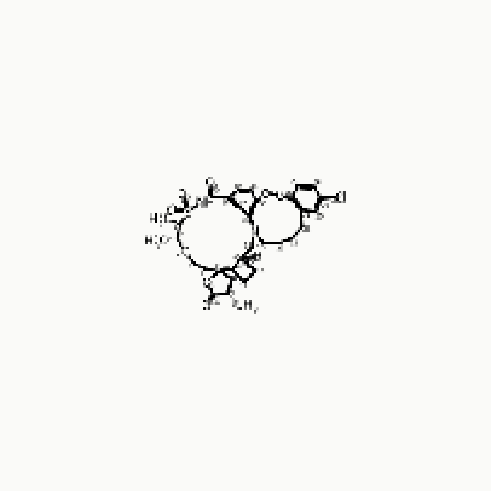 C[C@@H]1[C@@H](C)CCC[C@]2(C[C@H](C)C(=O)O2)[C@@H]2CC[C@H]2CN2CCCCc3cc(Cl)ccc3COc3ccc(cc32)C(=O)NS1(=O)=O